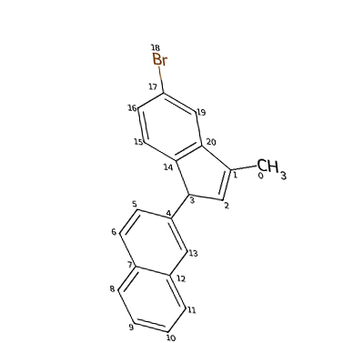 CC1=CC(c2ccc3ccccc3c2)c2ccc(Br)cc21